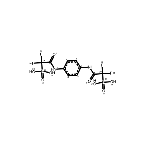 O=C(Nc1ccc(NC(=O)C(F)(F)P(=O)(O)O)cc1)C(F)(F)P(=O)(O)O